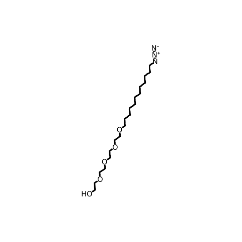 [N-]=[N+]=NCCCCCCCCCCCCOCCOCCOCCOCCO